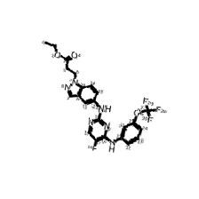 CCOC(=O)CCn1ncc2cc(Nc3ncc(F)c(Nc4cccc(OC(F)(F)F)c4)n3)ccc21